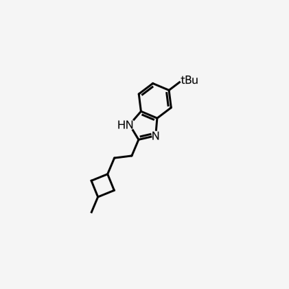 CC1CC(CCc2nc3cc(C(C)(C)C)ccc3[nH]2)C1